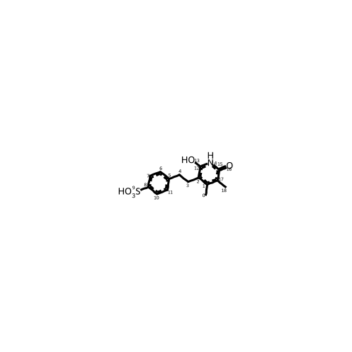 Cc1c(CCc2ccc(S(=O)(=O)O)cc2)c(O)[nH]c(=O)c1C